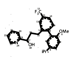 COc1ccc(C(C)C)cc1-c1ccc(C(F)(F)F)cc1CCC(O)c1ccccn1